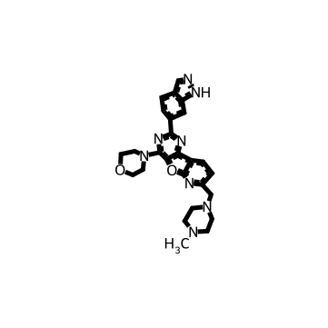 CN1CCN(Cc2ccc3c(n2)oc2c(N4CCOCC4)nc(-c4ccc5cn[nH]c5c4)nc23)CC1